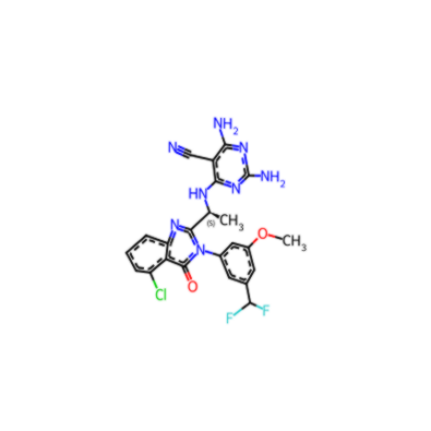 COc1cc(C(F)F)cc(-n2c([C@H](C)Nc3nc(N)nc(N)c3C#N)nc3cccc(Cl)c3c2=O)c1